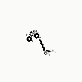 C=CCN(C)CCCCCCCO[C@H]1CC[C@H](N(C)S(=O)(=O)Nc2cccc(F)c2)CC1